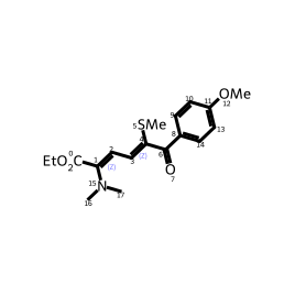 CCOC(=O)/C(=C/C=C(\SC)C(=O)c1ccc(OC)cc1)N(C)C